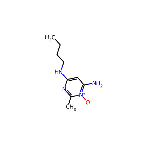 CCCCNc1cc(N)[n+]([O-])c(C)n1